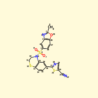 Cc1nc2cc(S(=O)(=O)N3CCSc4ccc(-c5ncc(C#N)s5)cc43)ccc2o1